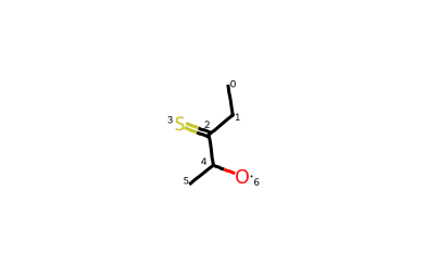 CCC(=S)C(C)[O]